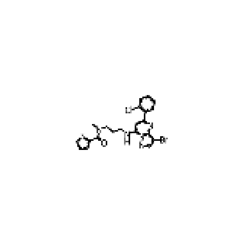 CN(CCCNc1cc(-c2ccccc2Cl)nc2c(Br)cnn12)C(=O)c1cccs1